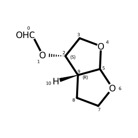 O=CO[C@@H]1COC2OCC[C@@H]21